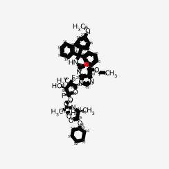 CCOc1nc(NC(c2ccccc2)(c2ccccc2)c2ccc(OC)cc2)nc2c1ncn2[C@@H]1O[C@](F)(OOP(C)(=O)N[C@@H](C)C(=O)OC2CCCCC2)[C@@H](O)[C@@]1(C)F